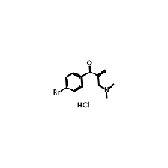 C=C(CN(C)C)C(=O)c1ccc(Br)cc1.Cl